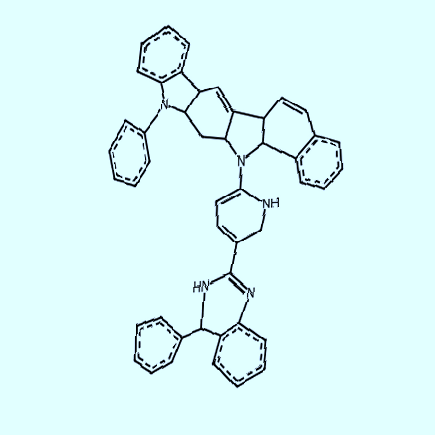 C1=CC2C3=CC4c5ccccc5N(c5ccccc5)C4CC3N(C3=CC=C(C4=Nc5ccccc5C(c5ccccc5)N4)CN3)C2c2ccccc21